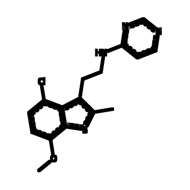 COc1ccc(Cl)c2c(CCNc3ccncn3)c(C)sc12